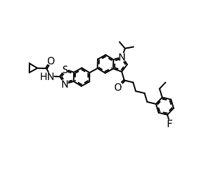 CCc1ccc(F)cc1CCCCC(=O)c1cn(C(C)C)c2ccc(-c3ccc4nc(NC(=O)C5CC5)sc4c3)cc12